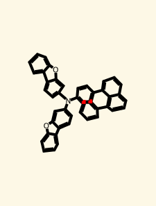 c1ccc(-c2cccc3cccc(-c4ccc(N(c5ccc6c(c5)oc5ccccc56)c5ccc6c(c5)oc5ccccc56)cc4)c23)cc1